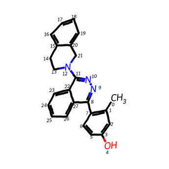 Cc1cc(O)ccc1-c1nnc(N2CCc3ccccc3C2)c2ccccc12